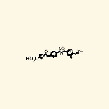 Cc1cc(-c2nc(C3C=CC(CC(=O)N4CC(C(=O)O)C4)=CC3)no2)cnc1CC(C)C